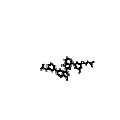 CN(C)CCOc1cc(F)cc(-c2nccc3[nH]c(-c4n[nH]c5ncc(-c6cncc(CN(C)C)c6)cc45)nc23)c1